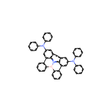 c1ccc(N(c2ccccc2)c2cc3c4c(c2)c2cc(N(c5ccccc5)c5ccccc5)cc5c2n4B(c2ccccc2-3)c2ccccc2-5)cc1